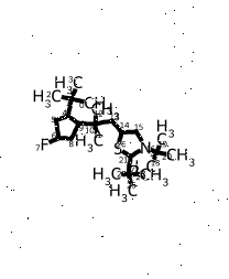 CC(C)(C)C1CC(F)CC1C(C)(C)CC1CN(C(C)(C)C)C(C(C)(C)C)S1